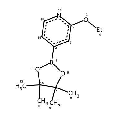 CCOc1cc(B2OC(C)(C)C(C)(C)O2)ccn1